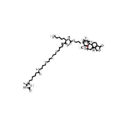 C[C@@H]1NC(=O)N[C@@H]1CCCCCC(=O)NCCCOCCOCCOCCCNC(=O)C(CCCCN)NC(=O)OCCC[C@]12O[C@H]1[C@@H]1O[C@]13[C@]1(O[C@H]1C[C@H]1C4=C(CC[C@@]13C)C(=O)OC4)[C@@H]2O